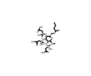 [2H]C(CCC)OC[C@H]1OC(OC)[C@@H](OP(=O)(O)CC(=O)O)[C@@H](OP(=O)(O)CC(=O)O)[C@@H]1OP(=O)(O)CC(=O)O